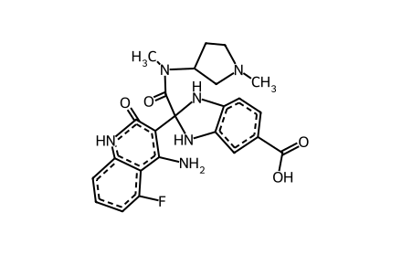 CN1CCC(N(C)C(=O)C2(c3c(N)c4c(F)cccc4[nH]c3=O)Nc3ccc(C(=O)O)cc3N2)C1